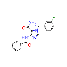 NC(=O)c1c(NC(=O)c2ccccc2)ncn1Cc1cccc(F)c1